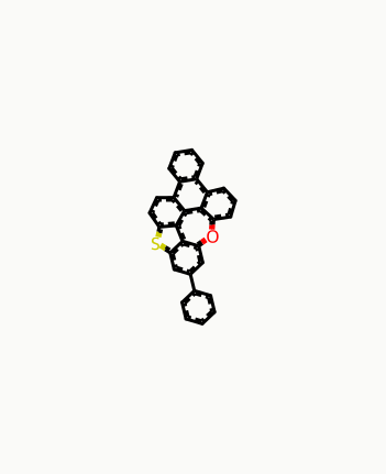 c1ccc(-c2cc3oc4cccc5c6ccccc6c6ccc7sc(c2)c3c7c6c45)cc1